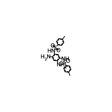 Cc1ccc(S(=O)(=O)Nc2cc(NS(=O)(=O)c3ccc(C)cc3)c(N)cc2N)cc1